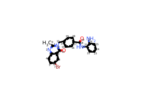 Cc1nc2ccc(Br)cc2c(=O)n1Cc1ccc(C(=O)Nc2ccccc2N)cc1